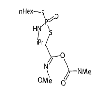 CCCCCCSP(=O)(NC(C)C)SCC(=NOC)OC(=O)NC